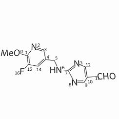 COc1ncc(CNc2ncc(C=O)cn2)cc1F